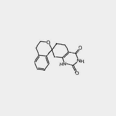 O=c1[nH]c2c(c(=O)[nH]1)CCC1(C2)OCCc2ccccc21